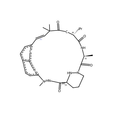 CC(C)[C@H]1CC(=O)C(C)(C)/C=C/c2ccc3ccc(nc3c2)N(C)NC(=O)[C@@H]2CCCN(N2)C(=O)[C@H](C)NC1=O